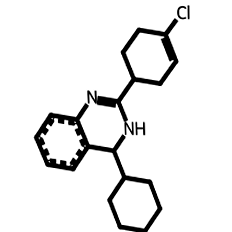 ClC1=CCC(C2=Nc3ccccc3C(C3CCCCC3)N2)CC1